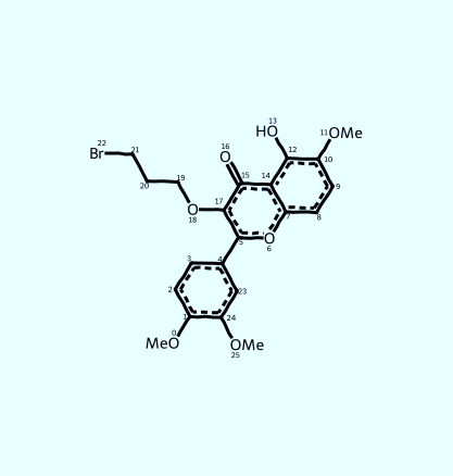 COc1ccc(-c2oc3ccc(OC)c(O)c3c(=O)c2OCCCBr)cc1OC